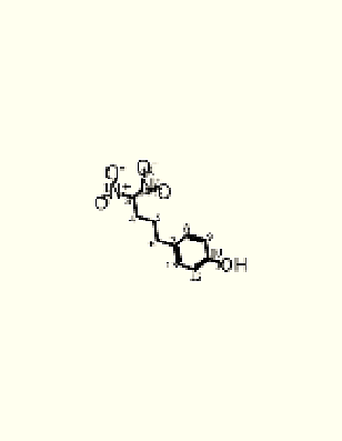 O=[N+]([O-])C(CCCc1ccc(O)cc1)[N+](=O)[O-]